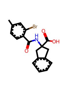 Cc1ccc(C(=O)NC2(C(=O)O)Cc3ccccc3C2)c(Br)c1